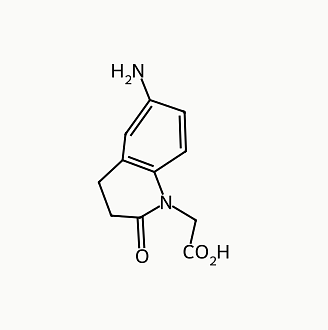 Nc1ccc2c(c1)CCC(=O)N2CC(=O)O